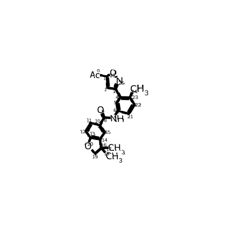 CC(=O)c1cc(-c2cc(NC(=O)c3ccc4c(c3)C(C)(C)CO4)ccc2C)no1